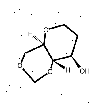 O[C@@H]1CCO[C@@H]2COCO[C@@H]12